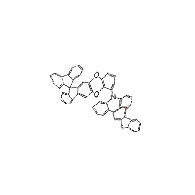 c1ccc(N(c2ccccc2-c2ccc3c(c2)sc2ccccc23)c2cccc3c2Oc2cc4c(cc2O3)C2(c3ccccc3-c3ccccc32)c2ccccc2-4)cc1